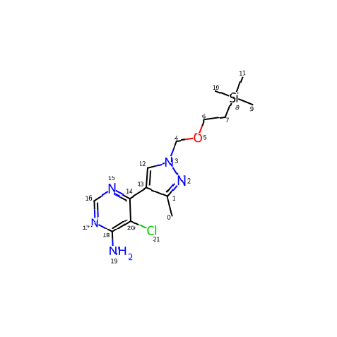 Cc1nn(COCC[Si](C)(C)C)cc1-c1ncnc(N)c1Cl